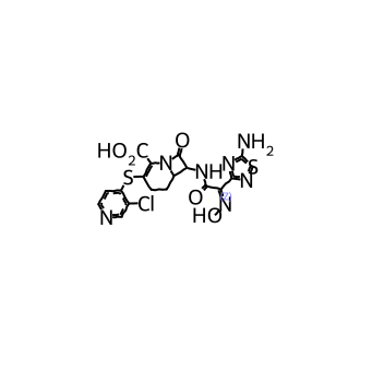 Nc1nc(/C(=N/O)C(=O)NC2C(=O)N3C(C(=O)O)=C(Sc4ccncc4Cl)CCC23)ns1